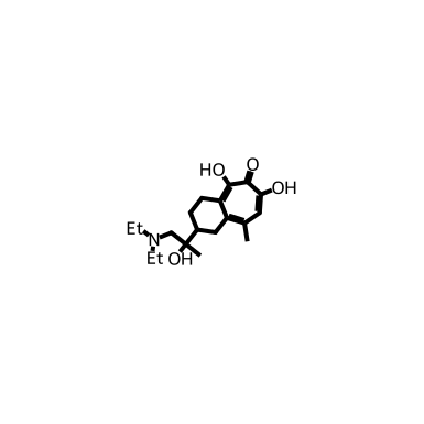 CCN(CC)CC(C)(O)C1CCc2c(c(C)cc(O)c(=O)c2O)C1